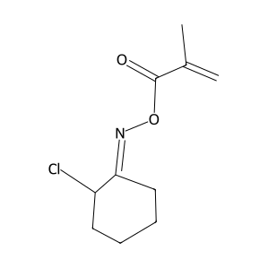 C=C(C)C(=O)ON=C1CCCCC1Cl